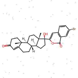 C[C@]12CCC(=O)C=C1CC[C@@H]1[C@@H]2CC[C@@]2(C)[C@H]1CC[C@@]2(O)c1cc2ccc(Br)cc2c(=O)o1